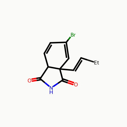 CCC=CC12C=C(Br)C=CC1C(=O)NC2=O